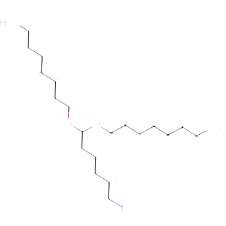 CCCCCCCCOC(CCCCCI)OCCCCCCCC